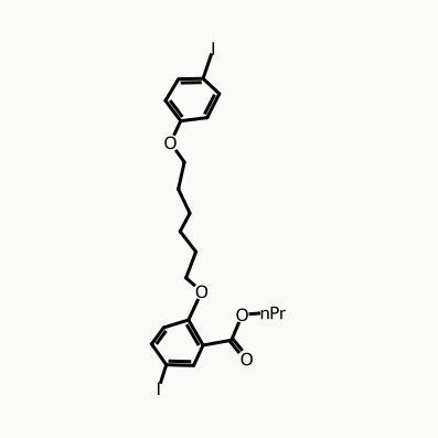 CCCOC(=O)c1cc(I)ccc1OCCCCCCOc1ccc(I)cc1